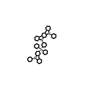 c1ccc(-n2c3ccccc3c3cc(S(c4ccccc4)(c4ccccc4)c4cccc(-n5c6ccccc6c6cc7c8ccccc8n(-c8ccccc8)c7cc65)c4)ccc32)cc1